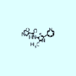 Cc1nc(-c2cccnc2)sc1NC(=O)c1cnco1